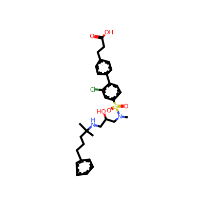 CN(CC(O)CNC(C)(C)CCCc1ccccc1)S(=O)(=O)c1ccc(-c2ccc(CCC(=O)O)cc2)c(Cl)c1